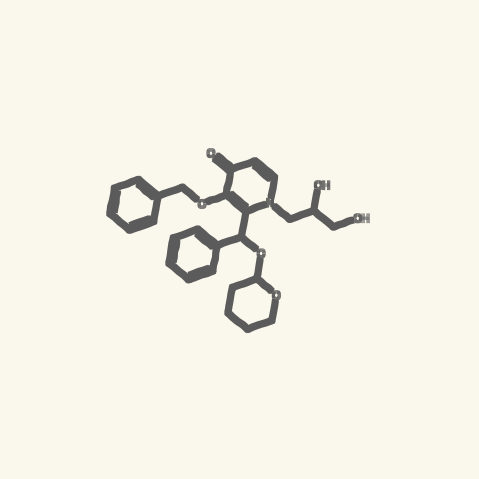 O=c1ccn(CC(O)CO)c(C(OC2CCCCO2)c2ccccc2)c1OCc1ccccc1